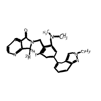 [2H]C1([2H])c2ncccc2C(=O)N1Cc1c(F)cc(-c2cccc3nn(C)cc23)cc1N(C)C